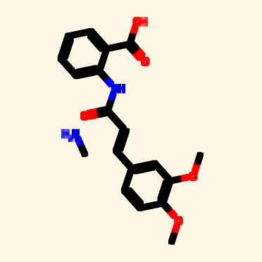 CN.COc1ccc(/C=C/C(=O)Nc2ccccc2C(=O)O)cc1OC